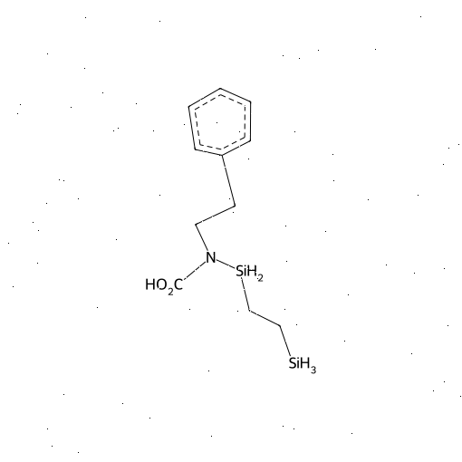 O=C(O)N(CCc1ccccc1)[SiH2]CC[SiH3]